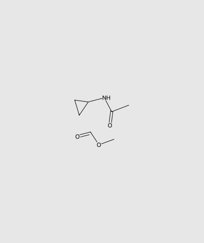 CC(=O)NC1CC1.COC=O